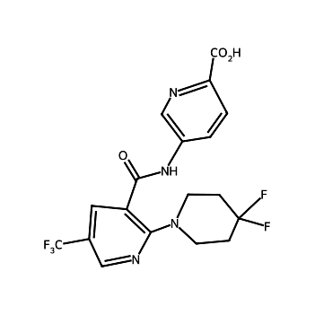 O=C(O)c1ccc(NC(=O)c2cc(C(F)(F)F)cnc2N2CCC(F)(F)CC2)cn1